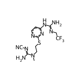 CN(CCSc1nccc(NC(N)=NCC(F)(F)F)n1)C(N)=NC#N